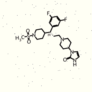 CS(=O)(=O)N1CCC([C@@H](CCN2CCC(n3cc[nH]c3=O)CC2)c2cc(F)cc(F)c2)CC1